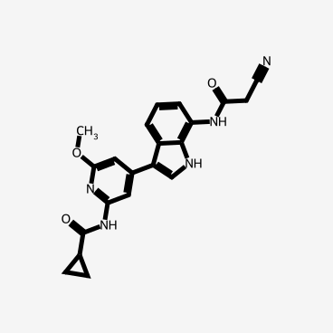 COc1cc(-c2c[nH]c3c(NC(=O)CC#N)cccc23)cc(NC(=O)C2CC2)n1